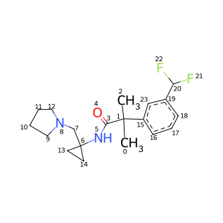 CC(C)(C(=O)NC1(CN2CCCC2)CC1)c1cccc(C(F)F)c1